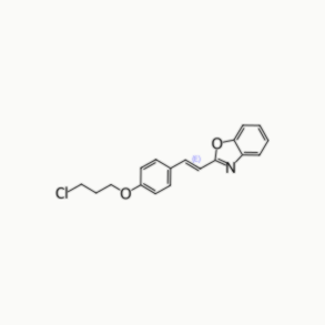 ClCCCOc1ccc(/C=C/c2nc3ccccc3o2)cc1